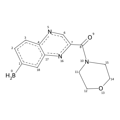 Bc1ccc2ncc(C(=O)N3CCOCC3)nc2c1